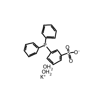 O.O.O=S(=O)([O-])c1cccc(P(c2ccccc2)c2ccccc2)c1.[K+]